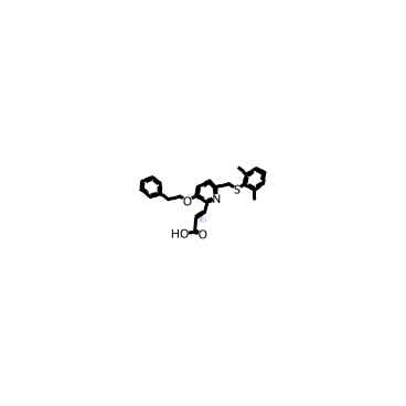 Cc1cccc(C)c1SCc1ccc(OCCc2ccccc2)c(/C=C/C(=O)O)n1